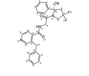 N#C[C@]1(c2ccccc2)CC(F)(F)CN1C(=O)CNC(=O)c1ccncc1Cc1ccccc1